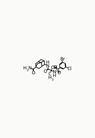 CC(C)(NS(=O)(=O)c1cc(Cl)cc(Br)c1)C(=O)NC1C2CC3CC1CC(C(N)=O)(C3)C2